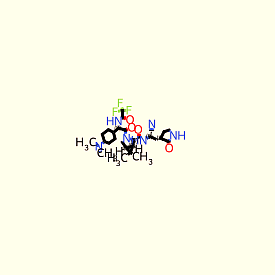 CN(C)C1CCC([C@H](NC(=O)C(F)(F)F)C(=O)N2C[C@H]3[C@@H]([C@H]2C(=O)N[C@H](C#N)C[C@@H]2CCNC2=O)C3(C)C)CC1